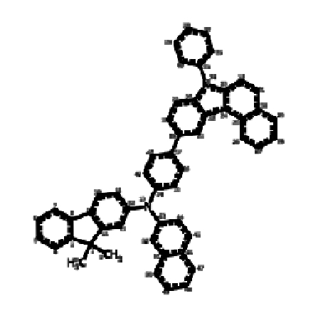 CC1(C)c2ccccc2-c2ccc(N(c3ccc(-c4ccc5c(c4)c4c6ccccc6ccc4n5-c4ccccc4)cc3)c3ccc4ccccc4c3)cc21